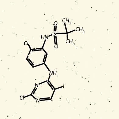 CC(C)(C)S(=O)(=O)Nc1cc(Nc2nc(Cl)ncc2I)ccc1Cl